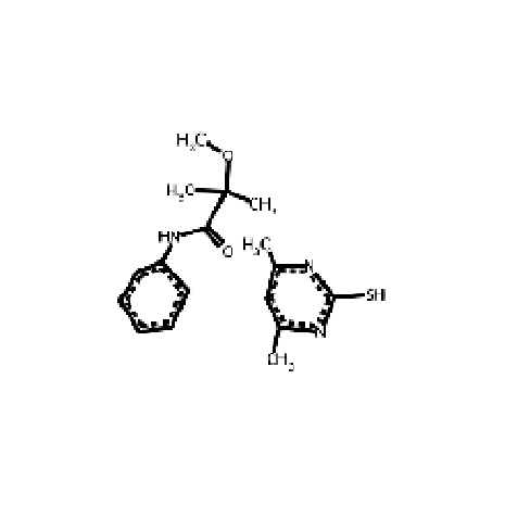 COC(C)(C)C(=O)Nc1ccccc1.Cc1cc(C)nc(S)n1